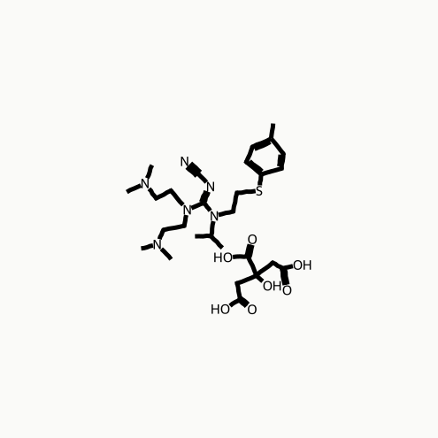 Cc1ccc(SCCN(C(=NC#N)N(CCN(C)C)CCN(C)C)C(C)C)cc1.O=C(O)CC(O)(CC(=O)O)C(=O)O